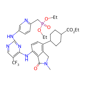 CCOC(=O)C1CCC(c2ccc(Nc3nc(Nc4ccc(CP(=O)(OCC)OCC)nc4)ncc3C(F)(F)F)c3c2CN(C)C3=O)CC1